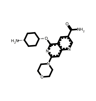 NC(=O)c1cnc2cc(N3CCOCC3)nc(O[C@H]3CC[C@@H](N)CC3)c2c1